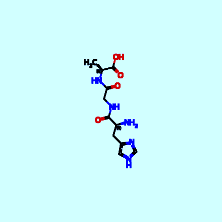 C[C@H](NC(=O)CNC(=O)[C@@H](N)Cc1c[nH]cn1)C(=O)O